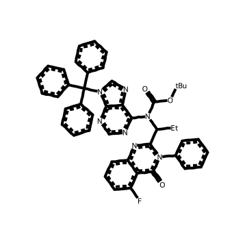 CCC(c1nc2cccc(F)c2c(=O)n1-c1ccccc1)N(C(=O)OC(C)(C)C)c1ncnc2c1ncn2C(c1ccccc1)(c1ccccc1)c1ccccc1